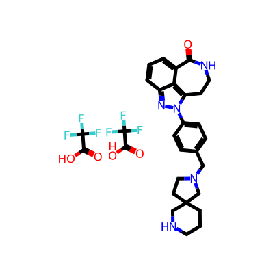 O=C(O)C(F)(F)F.O=C(O)C(F)(F)F.O=C1NCCc2c3c1cccc3nn2-c1ccc(CN2CCC3(CCCNC3)C2)cc1